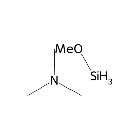 CN(C)C.[CH2]O[SiH3]